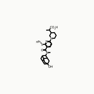 CCCSc1nc(N2CCCC(C(C)C(=O)O)C2)ccc1C(=O)N(C)C1C2CC3CC1CC(O)(C3)C2